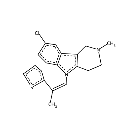 C/C(=C/n1c2c(c3cc(Cl)ccc31)CN(C)CC2)c1cccs1